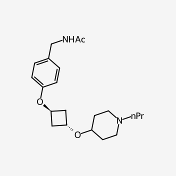 CCCN1CCC(O[C@H]2C[C@H](Oc3ccc(CNC(C)=O)cc3)C2)CC1